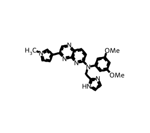 COc1cc(OC)cc(N(Cc2ncc[nH]2)c2ccc3ncc(-c4ccn(C)c4)nc3n2)c1